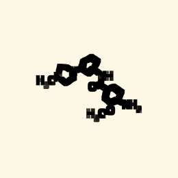 COc1cc(C(=O)Nc2cccc(N3CCN(C)CC3)c2)ccc1N